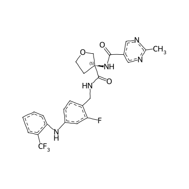 Cc1ncc(C(=O)N[C@@]2(C(=O)NCc3ccc(Nc4ccccc4C(F)(F)F)cc3F)CCOC2)cn1